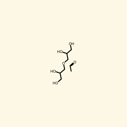 CC=O.OCC(O)COCC(O)CO